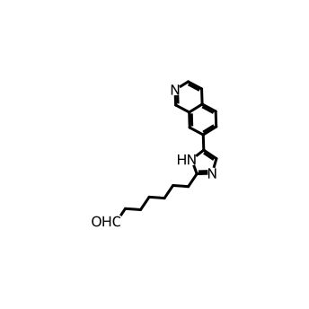 O=CCCCCCCc1ncc(-c2ccc3ccncc3c2)[nH]1